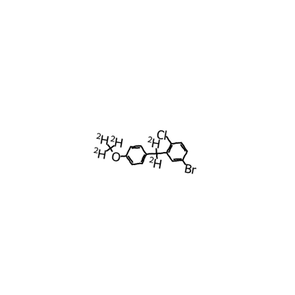 [2H]C([2H])([2H])Oc1ccc(C([2H])([2H])c2cc(Br)ccc2Cl)cc1